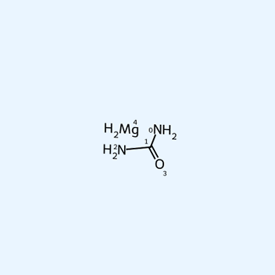 NC(N)=O.[MgH2]